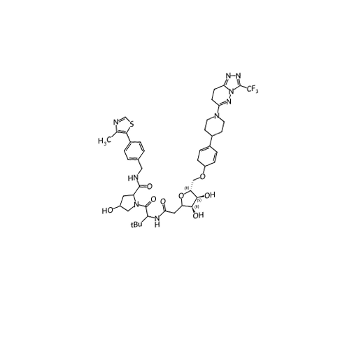 Cc1ncsc1-c1ccc(CNC(=O)C2CC(O)CN2C(=O)C(NC(=O)CC2O[C@H](COC3C=CC(C4CCN(C5=Nn6c(nnc6C(F)(F)F)CC5)CC4)=CC3)[C@@H](O)[C@H]2O)C(C)(C)C)cc1